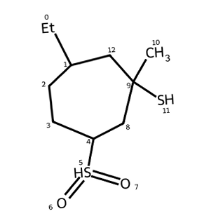 CCC1CCC([SH](=O)=O)CC(C)(S)C1